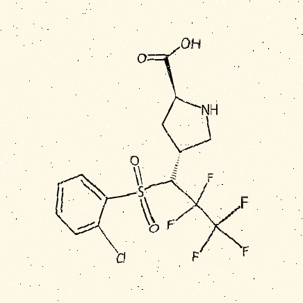 O=C(O)[C@@H]1C[C@@H](C(C(F)(F)C(F)(F)F)S(=O)(=O)c2ccccc2Cl)CN1